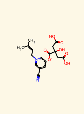 CC(C)=CC[n+]1cccc(C#N)c1.O=C(O)CC(O)(CC(=O)O)C(=O)[O-]